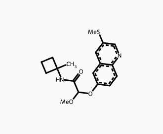 COC(Oc1ccc2ncc(SC)cc2c1)C(=O)NC1(C)CCC1